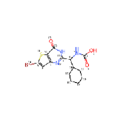 O=C(O)NC(c1nc2cc(Br)sc2c(=O)[nH]1)C1CCCCC1